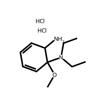 CCN(CC)C1(OC)C=CC=CC1N.Cl.Cl